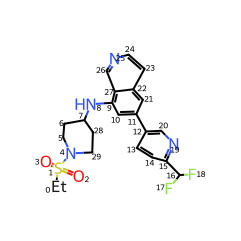 CCS(=O)(=O)N1CCC(Nc2cc(-c3ccc(C(F)F)nc3)cc3ccncc23)CC1